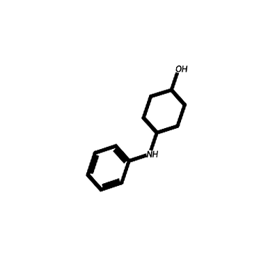 OC1CCC(Nc2ccccc2)CC1